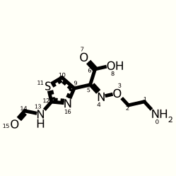 NCCO/N=C(\C(=O)O)c1csc(NC=O)n1